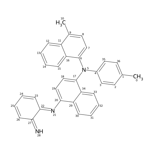 Cc1ccc(N(c2ccc(C)c3ccccc23)c2ccc(/N=C3\C=CC=CC3=N)c3ccccc23)cc1